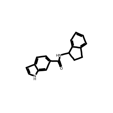 O=C(NC1CCc2ccccc21)c1ccc2cc[nH]c2c1